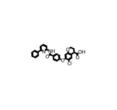 O=C(Nc1cccc(-c2ccccc2)n1)c1ccc(Oc2cc3c(cc2Cl)C(C(=O)O)CCO3)cc1